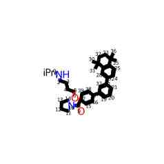 CC(C)NCCCCOC1(C(=O)N2CCCC2)C=CC(c2cccc(-c3ccc4c(c3)C(C)(C)CCC4(C)C)c2)C=C1